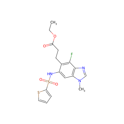 CCOC(=O)CCc1c(NS(=O)(=O)c2cccs2)cc2c(ncn2C)c1F